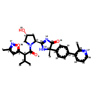 Cc1cc(C(C(=O)N2C[C@H](O)C[C@H]2C2=NC(=O)[C@](C)(c3ccc(-c4cccnc4C)cc3)N2)C(C)C)on1